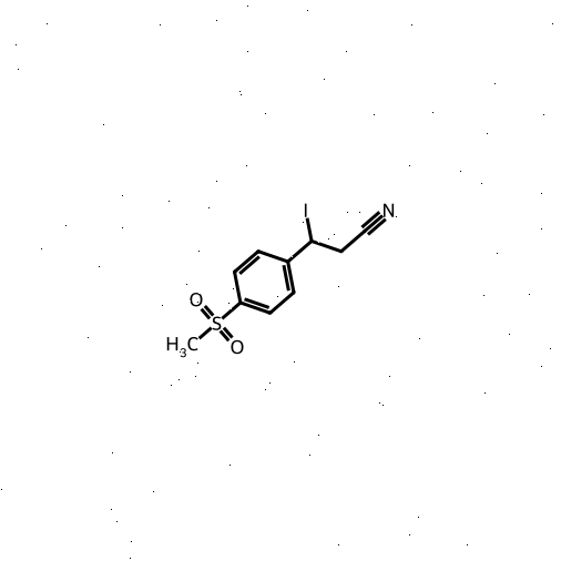 CS(=O)(=O)c1ccc(C(I)CC#N)cc1